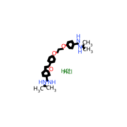 CC(C)NC(=N)c1ccc(OCCCOc2ccc(-c3cc4ccc(C(=N)NC(C)C)cc4o3)cc2)cc1.Cl.Cl